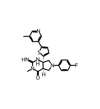 Cc1cncc(-c2ccc([C@]34CN(c5ccc(F)cc5)C[C@H]3C(=O)N(C)C(=N)N4)s2)c1